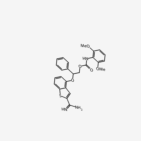 COc1cccc(OC)c1NC(=O)OCC(Oc1cccc2sc(C(=N)N)cc12)c1ccccc1